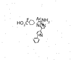 CC(=O)c1c(N)n2ncc(-c3ccc(-c4ccccc4)nc3)c2nc1[C@H]1CC[C@](F)(C(=O)O)CC1